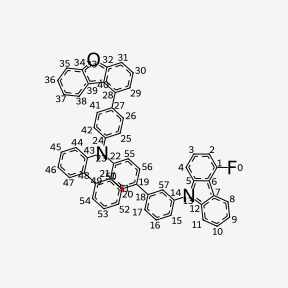 Fc1cccc2c1c1ccccc1n2-c1cccc(-c2ccc(N(c3ccc(-c4cccc5oc6ccccc6c45)cc3)c3ccccc3-c3ccccc3)cc2)c1